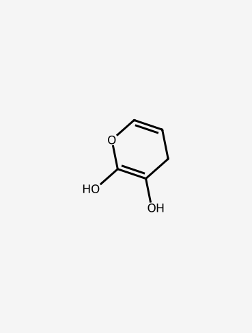 OC1=C(O)OC=CC1